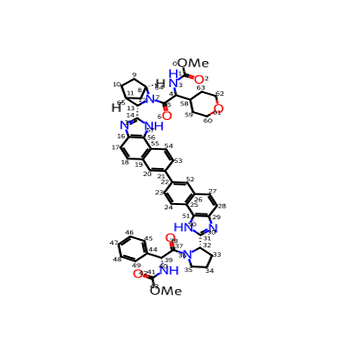 COC(=O)NC(C(=O)N1[C@@H]2CC[C@@H](C2)[C@H]1c1nc2ccc3cc(-c4ccc5c(ccc6nc([C@@H]7CCCN7C(=O)[C@H](NC(=O)OC)c7ccccc7)[nH]c65)c4)ccc3c2[nH]1)C1CCOCC1